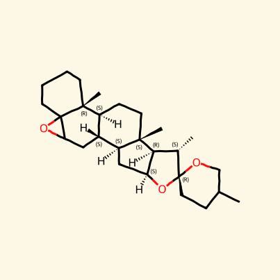 CC1CC[C@@]2(OC1)O[C@H]1C[C@H]3[C@@H]4CC5OC56CCCC[C@]6(C)[C@H]4CC[C@]3(C)[C@H]1[C@@H]2C